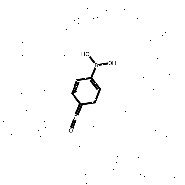 O=C=C1C=CC(B(O)O)=CC1